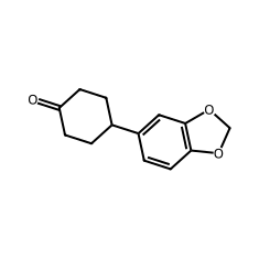 O=C1CCC(c2ccc3c(c2)OCO3)CC1